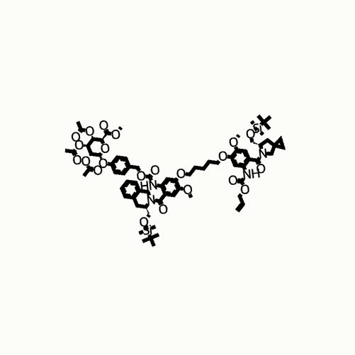 C=CCOC(=O)Nc1cc(OCCCCCOc2cc(NC(=O)OCc3ccc(O[C@@H]4O[C@H](C(=O)OC)[C@@H](OC(C)=O)[C@H](OC(C)=O)[C@H]4OC(C)=O)cc3)c(C(=O)N3Cc4ccccc4C[C@H]3CO[Si](C)(C)C(C)(C)C)cc2OC)c(OC)cc1C(=O)N1CC2(CC2)C[C@H]1CO[Si](C)(C)C(C)(C)C